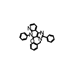 O=c1c2c(nc(-c3ccccc3)n2Cc2ccccc2)c2cccnc2n1-c1ccccc1